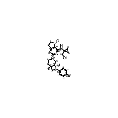 [O-][S+]1CCc2nc(N3CC[C@H]4CN(c5ccc(F)cc5)[C@H]4C3)nc(NC3(CO)CC3)c21